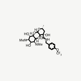 CN[C@@H]1[C@H](O)[C@H](NC)[C@H]2O[C@]3(O)[C@H](O[C@@H]2[C@H]1O)O[C@H](C)C[C@@]3(O)CNCc1ccc(OC(F)(F)F)cc1